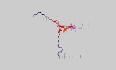 CCCC/C=C\C/C=C\CCCCCCCC(=O)OC[C@H](COP(=O)(O)OC[C@H](N)C(=O)O)OC(=O)CCCCCC/C=C\C/C=C\C/C=C\CCCCC